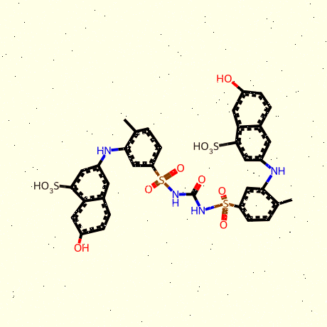 Cc1ccc(S(=O)(=O)NC(=O)NS(=O)(=O)c2ccc(C)c(Nc3cc(S(=O)(=O)O)c4cc(O)ccc4c3)c2)cc1Nc1cc(S(=O)(=O)O)c2cc(O)ccc2c1